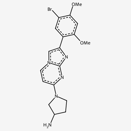 COc1cc(OC)c(-c2cn3ccc(N4CCC(N)C4)nc3n2)cc1Br